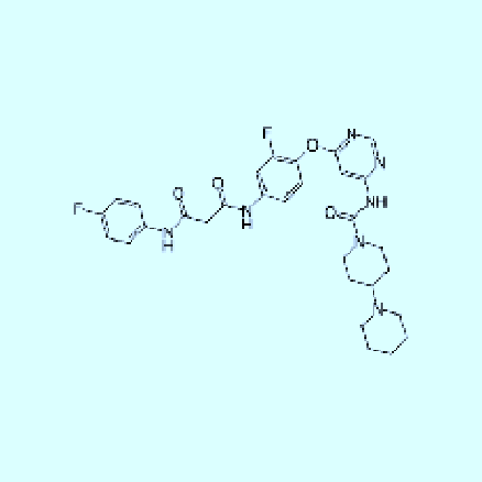 O=C(CC(=O)Nc1ccc(Oc2cc(NC(=O)N3CCC(N4CCCCC4)CC3)ncn2)c(F)c1)Nc1ccc(F)cc1